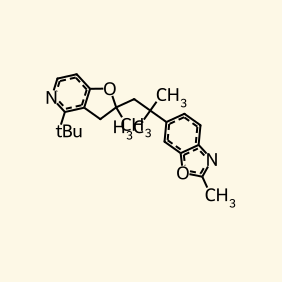 Cc1nc2ccc(C(C)(C)CC3(C)Cc4c(ccnc4C(C)(C)C)O3)cc2o1